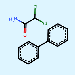 NC(=O)C(Cl)Cl.c1ccc(-c2ccccc2)cc1